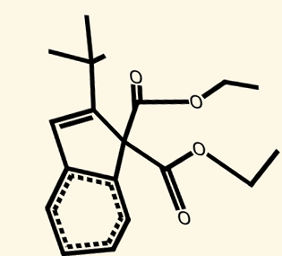 CCOC(=O)C1(C(=O)OCC)C(C(C)(C)C)=Cc2ccccc21